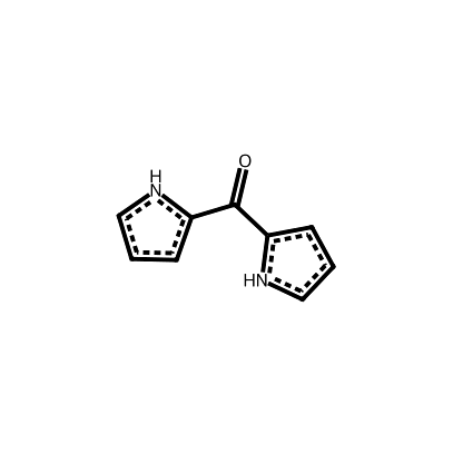 O=C(c1ccc[nH]1)c1ccc[nH]1